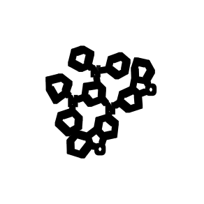 c1ccc(N(c2ccccc2)c2cc(N(c3ccccc3)c3ccccc3)cc(N(c3ccc4oc5ccccc5c4c3)c3ccc4oc5ccccc5c4c3)c2)cc1